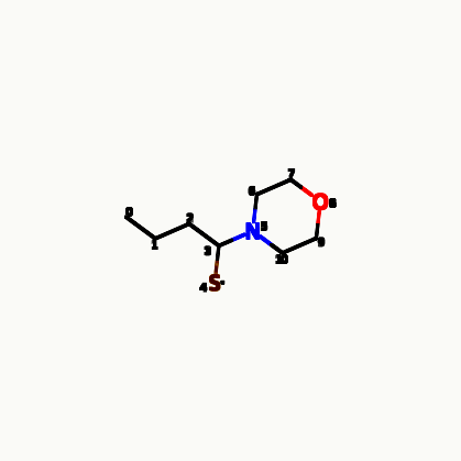 CCCC([S])N1CCOCC1